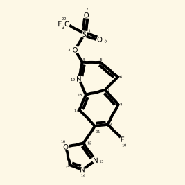 O=S(=O)(Oc1ccc2cc(F)c(-c3nnco3)cc2n1)C(F)(F)F